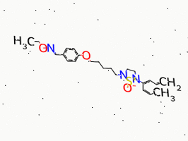 C=C/C=C(\C=C/C)N1CCN(CCCCCOc2ccc(/C=N/OCC)cc2)[S+]1[O-]